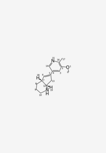 COc1cc(C2=C[C@H]3CCCN[C@H]3C2)cnc1C